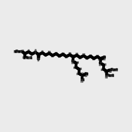 CCCCCC(CCCCC)CCOC(=O)CCCCCCCCCC(CCCCCCCC(=O)OCCC(CCCCC)CCCCC)OCCCCN(CC)CC